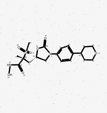 C[C@@](C[C@H]1CN(c2ccc(C3CCOCC3)cc2)C(=O)O1)(C(=O)NO)S(C)(=O)=O